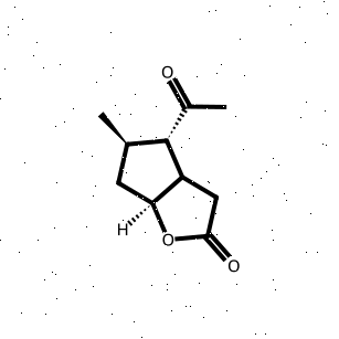 CC(=O)[C@@H]1C2CC(=O)O[C@H]2C[C@H]1C